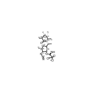 CCC1OC(OC(=N)C(Cl)(Cl)Cl)C(N=[N+]=[N-])[C@@H](C)[C@@H]1O[C@@H]1OC(C)[C@@H](C)[C@@H](C)C1C